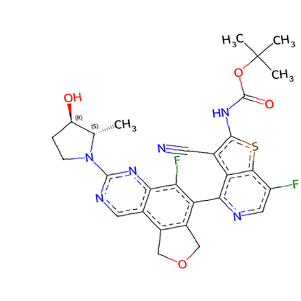 C[C@H]1[C@H](O)CCN1c1ncc2c3c(c(-c4ncc(F)c5sc(NC(=O)OC(C)(C)C)c(C#N)c45)c(F)c2n1)COC3